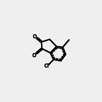 Cc1ccc(Cl)c2c1CC(=O)C2=O